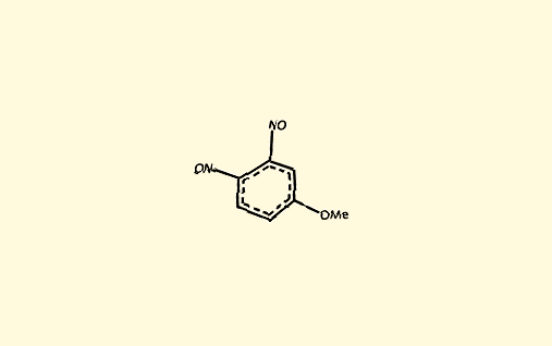 COc1ccc(N=O)c(N=O)c1